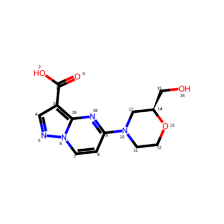 O=C(O)c1cnn2ccc(N3CCO[C@H](CO)C3)nc12